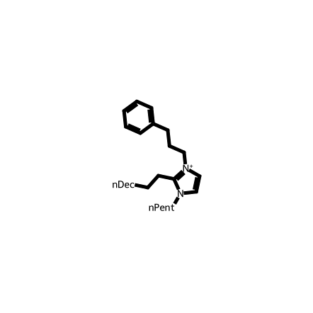 CCCCCCCCCCCCc1n(CCCCC)cc[n+]1CCCc1ccccc1